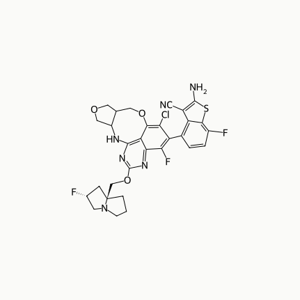 N#Cc1c(N)sc2c(F)ccc(-c3c(Cl)c4c5c(nc(OC[C@@]67CCCN6C[C@H](F)C7)nc5c3F)NC3COCC3CO4)c12